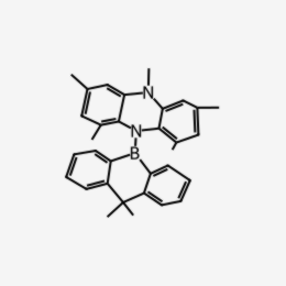 Cc1cc(C)c2c(c1)N(C)c1cc(C)cc(C)c1N2B1c2ccccc2C(C)(C)c2ccccc21